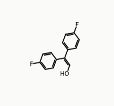 OC=C(c1ccc(F)cc1)c1ccc(F)cc1